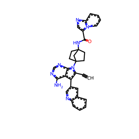 C#Cc1c(-c2cnc3ccccc3c2)c2c(N)ncnc2n1C12CCC(NC(=O)c3cnc4ccccn34)(CC1)C2